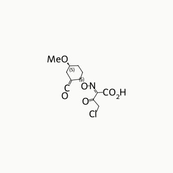 CO[C@H]1CC[C@H](ON=C(C(=O)O)C(=O)CCl)C(=C=O)C1